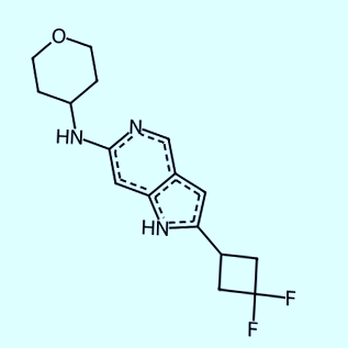 FC1(F)CC(c2cc3cnc(NC4CCOCC4)cc3[nH]2)C1